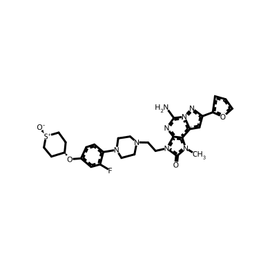 Cn1c(=O)n(CCN2CCN(c3ccc(O[C@H]4CC[S@+]([O-])CC4)cc3F)CC2)c2nc(N)n3nc(-c4ccco4)cc3c21